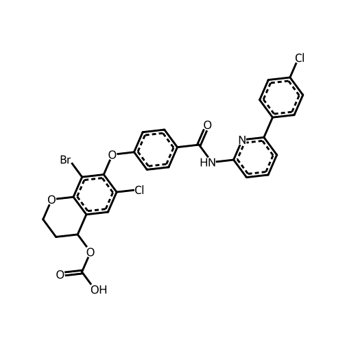 O=C(O)OC1CCOc2c1cc(Cl)c(Oc1ccc(C(=O)Nc3cccc(-c4ccc(Cl)cc4)n3)cc1)c2Br